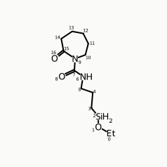 CCO[SiH2]CCCNC(=O)N1CCCCCC1=O